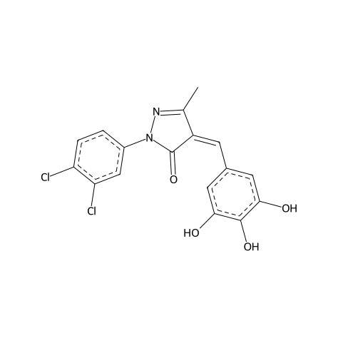 CC1=NN(c2ccc(Cl)c(Cl)c2)C(=O)C1=Cc1cc(O)c(O)c(O)c1